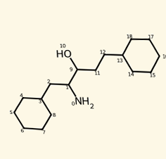 NC(CC1CCCCC1)C(O)CCC1CCCCC1